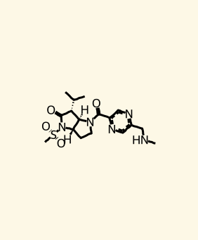 CNCc1cnc(C(=O)N2CC[C@H]3[C@H]2[C@@H](C(C)C)C(=O)N3S(C)(=O)=O)cn1